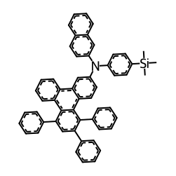 C[Si](C)(C)c1ccc(N(c2ccc3ccccc3c2)c2ccc3c(c2)c2ccccc2c2c(-c4ccccc4)cc(-c4ccccc4)c(-c4ccccc4)c32)cc1